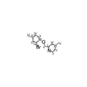 Cc1ccnc(COc2ccc(C)cc2Br)c1